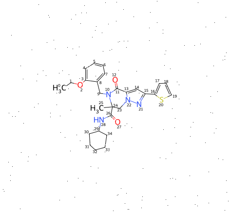 CCOc1ccccc1CN1C(=O)c2cc(-c3cccs3)nn2CC1(C)C(=O)NC1CCCCC1